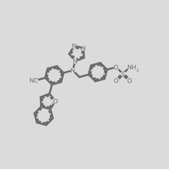 N#Cc1ccc(N(Cc2ccc(OS(N)(=O)=O)cc2)n2cnnc2)cc1-c1cc2ccccc2o1